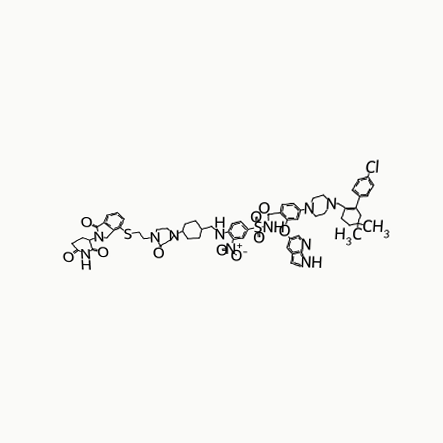 CC1(C)CCC(CN2CCN(c3ccc(C(=O)NS(=O)(=O)c4ccc(NCC5CCC(N6CCN(CCSc7cccc8c7CN(C7CCC(=O)NC7=O)C8=O)C(=O)C6)CC5)c([N+](=O)[O-])c4)c(Oc4cnc5[nH]ccc5c4)c3)CC2)=C(c2ccc(Cl)cc2)C1